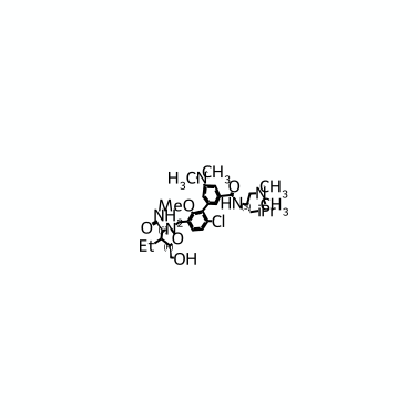 CCC1[C@H](CO)ON(Cc2ccc(Cl)c(-c3cc(C(=O)N[C@@H](CC(C)C)CN(C)C)cc(N(C)C)c3)c2OC)[C@@H]1C(N)=O